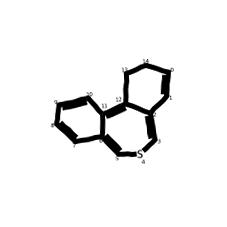 C1=CC2=CSC=c3ccccc3=C2CC1